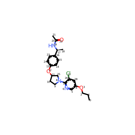 CCCOc1cnc(N2CCC(Oc3ccc([C@H](C)NC(C)=O)cc3)C2)c(Cl)c1